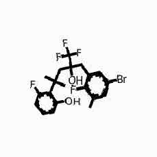 Cc1cc(Br)cc(CC(O)(CC(C)(C)c2c(O)cccc2F)C(F)(F)F)c1F